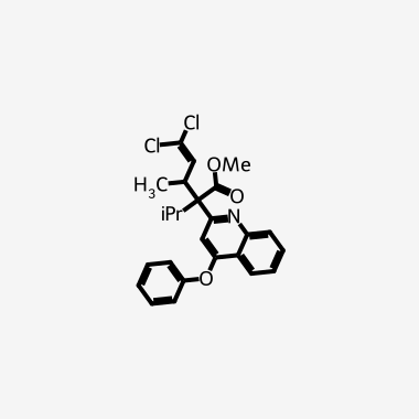 COC(=O)C(c1cc(Oc2ccccc2)c2ccccc2n1)(C(C)C)C(C)C=C(Cl)Cl